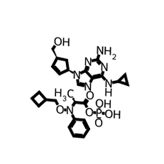 C[C@@H](C(=O)OP(=O)(O)O)N(OCC1CCC1)c1ccccc1.Nc1nc(NC2CC2)c2ncn([C@H]3C=C[C@@H](CO)C3)c2n1